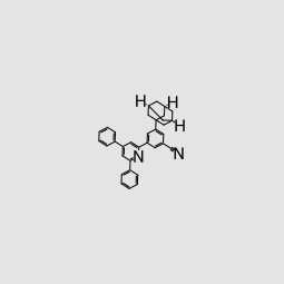 N#Cc1cc(-c2cc(-c3ccccc3)cc(-c3ccccc3)n2)cc(C23C[C@H]4C[C@H](C2)C[C@@H](C3)C4)c1